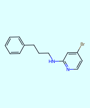 Brc1ccnc(NCCCc2ccccc2)c1